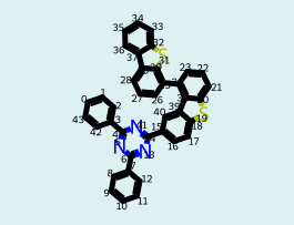 c1ccc(-c2nc(-c3ccccc3)nc(-c3ccc4sc5cccc(-c6cccc7c6sc6ccccc67)c5c4c3)n2)cc1